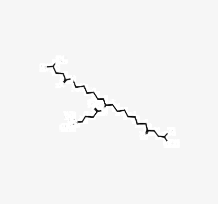 CCCCC(CC)CCC(=O)CCCCCCCC(CCCCCCOC(=O)CCC(CC)CCCC)OC(=O)CCCN(C)C